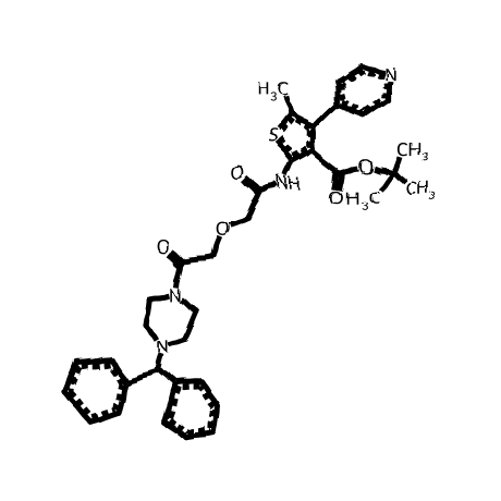 Cc1sc(NC(=O)COCC(=O)N2CCN(C(c3ccccc3)c3ccccc3)CC2)c(C(=O)OC(C)(C)C)c1-c1ccncc1